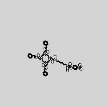 O=C(CN1CCN(CC(=O)OCc2ccccc2)CCN(CC(=O)OCc2ccccc2)CCN(CC(=O)OCc2ccccc2)CC1)NCCCCCCNC(=O)Oc1ccc([N+](=O)[O-])cc1